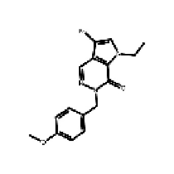 CCn1cc(Br)c2cnn(Cc3ccc(OC)cc3)c(=O)c21